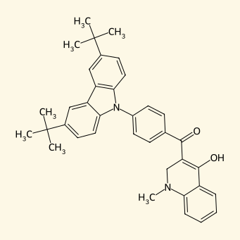 CN1CC(C(=O)c2ccc(-n3c4ccc(C(C)(C)C)cc4c4cc(C(C)(C)C)ccc43)cc2)=C(O)c2ccccc21